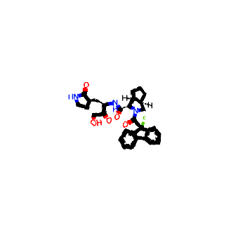 O=C1NCC[C@@H]1C[C@@H](NC(=O)[C@@H]1[C@H]2CCC[C@H]2CN1C(=O)C1(F)c2ccccc2-c2ccccc21)C(=O)CO